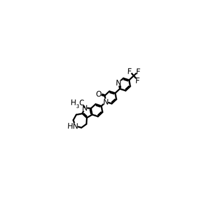 Cn1c2c(c3ccc(-n4ccc(-c5ccc(C(F)(F)F)cn5)cc4=O)cc31)CCNCC2